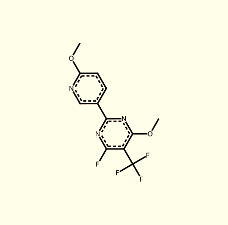 COc1ccc(-c2nc(F)c(C(F)(F)F)c(OC)n2)cn1